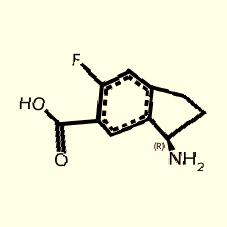 N[C@@H]1CCc2cc(F)c(C(=O)O)cc21